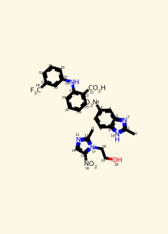 Cc1nc2cc([N+](=O)[O-])ccc2[nH]1.Cc1ncc([N+](=O)[O-])n1CCO.O=C(O)c1ccccc1Nc1cccc(C(F)(F)F)c1